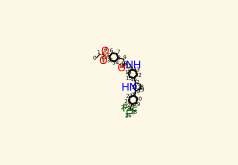 CCS(=O)(=O)c1ccc(CC(=O)Nc2ccc(C3CCC(c4ccc(C(F)(F)F)cc4)N3)cc2)cc1